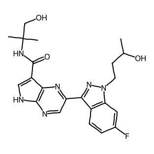 CC(O)CCn1nc(-c2cnc3[nH]cc(C(=O)NC(C)(C)CO)c3n2)c2ccc(F)cc21